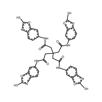 O=C(CC(CC(=O)Nc1ccc2nc(S)oc2c1)(CC(=O)Nc1ccc2nc(S)oc2c1)CC(=O)Nc1ccc2nc(S)oc2c1)Nc1ccc2nc(S)oc2c1